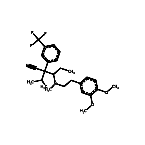 CCC(N(C)CCc1ccc(OC)c(OC)c1)C(C#N)(c1cccc(C(F)(F)F)c1)C(C)C